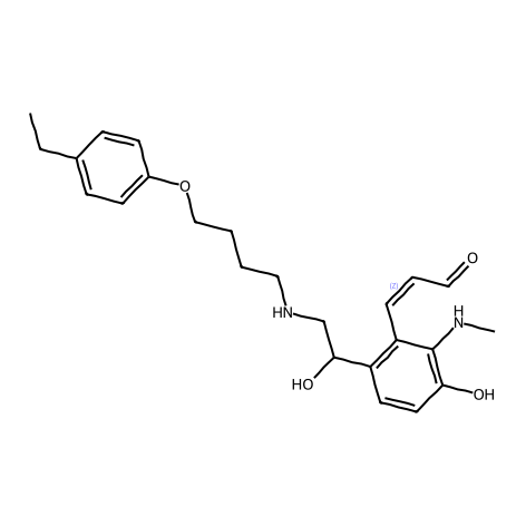 CCc1ccc(OCCCCNCC(O)c2ccc(O)c(NC)c2/C=C\C=O)cc1